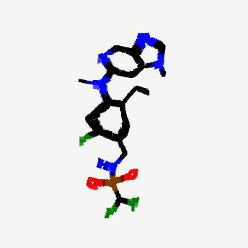 CCc1cc(CNS(=O)(=O)C(F)F)c(F)cc1N(C)c1cc2c(cn1)ncn2C